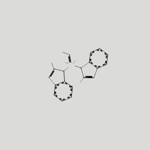 C[CH]=[Zr]([F])([F])([CH]1C(C)=Cc2ccccc21)[CH]1C(C)=Cc2ccccc21